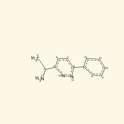 CC(N)c1ccc(-c2ccccc2)nn1